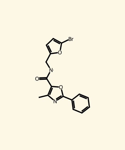 Cc1nc(-c2ccccc2)oc1C(=O)[N]Cc1ccc(Br)o1